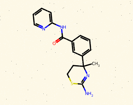 CC1(c2cccc(C(=O)Nc3ccccn3)c2)CCSC(N)=N1